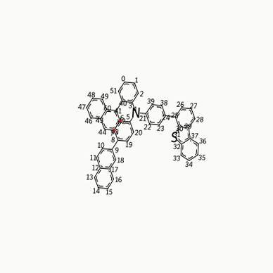 c1ccc(N(c2ccc(-c3ccc4ccccc4c3)cc2)c2ccc(-c3cccc4c3sc3ccccc34)cc2)c(-c2cccc3ccccc23)c1